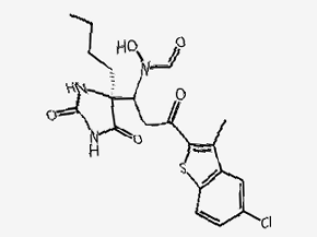 CCCC[C@@]1(C(CC(=O)c2sc3ccc(Cl)cc3c2C)N(O)C=O)NC(=O)NC1=O